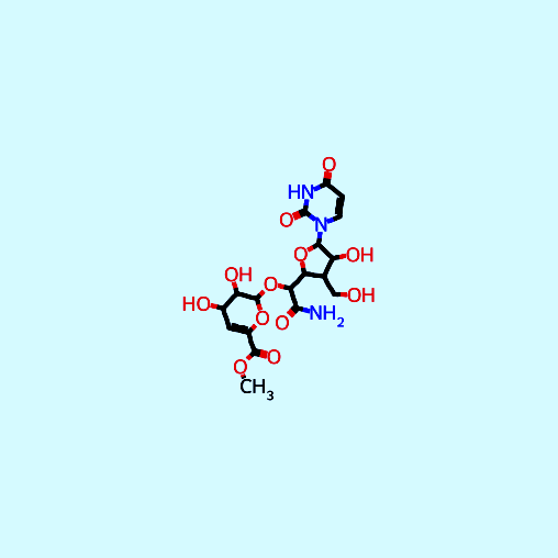 COC(=O)C1=CC(O)C(O)C(OC(C(N)=O)C2OC(n3ccc(=O)[nH]c3=O)C(O)C2CO)O1